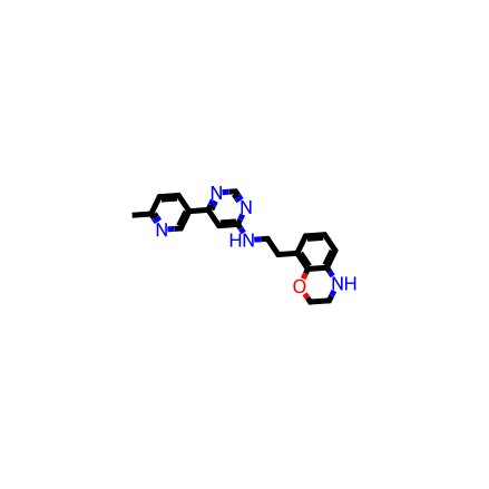 Cc1ccc(-c2cc(NCCc3cccc4c3OCCN4)ncn2)cn1